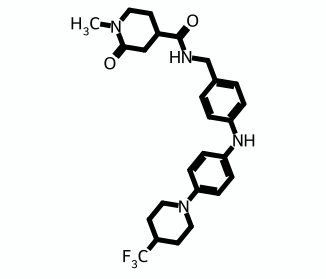 CN1CCC(C(=O)NCc2ccc(Nc3ccc(N4CCC(C(F)(F)F)CC4)cc3)cc2)CC1=O